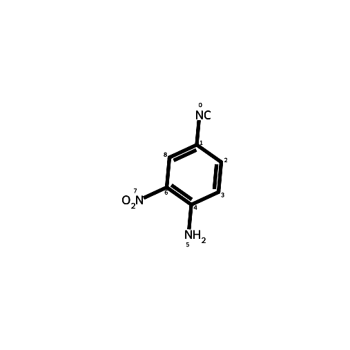 [C-]#[N+]c1ccc(N)c([N+](=O)[O-])c1